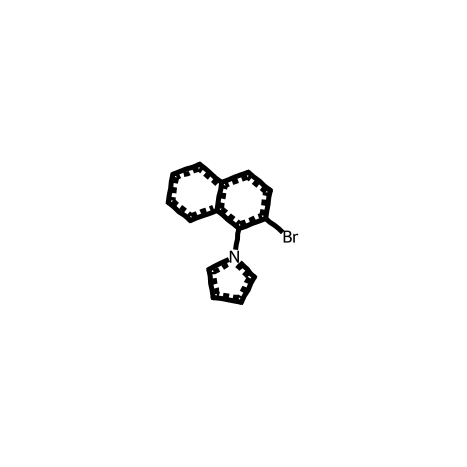 Brc1ccc2ccccc2c1-n1cccc1